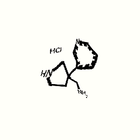 Cl.NCC1(c2cccnc2)CCNC1